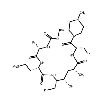 CSCC[C@H](NC(=O)[C@@H](NC(=O)OC(C)(C)C)C(C)C)C(=O)N[C@@H](CC(C)C)[C@@H](O)C[C@@H](C)C(=O)N[C@@H](CC(C)C)C(=O)N1CCN(C)CC1